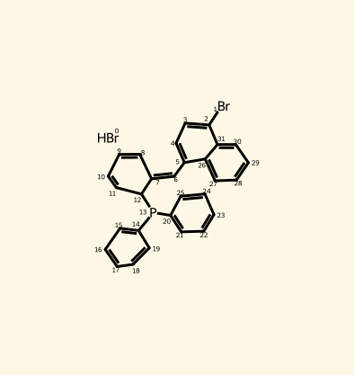 Br.Brc1ccc(C=C2C=CC=CC2P(c2ccccc2)c2ccccc2)c2ccccc12